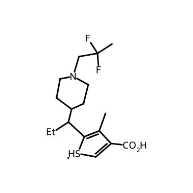 CCC(C1=C(C)C(C(=O)O)=C[SH]1C)C1CCN(CC(C)(F)F)CC1